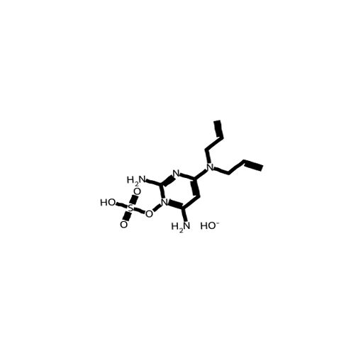 C=CCN(CC=C)c1cc(N)[n+](OS(=O)(=O)O)c(N)n1.[OH-]